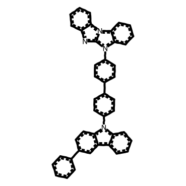 c1ccc(-c2ccc3c(c2)c2ccccc2n3-c2ccc(-c3ccc(-n4c5ccccc5n5c6ccccc6nc45)cc3)cc2)cc1